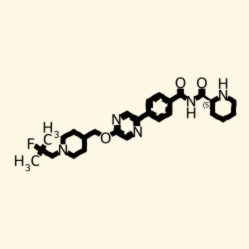 CC(C)(F)CN1CCC(COc2cnc(-c3ccc(C(=O)NC(=O)[C@@H]4CCCCN4)cc3)cn2)CC1